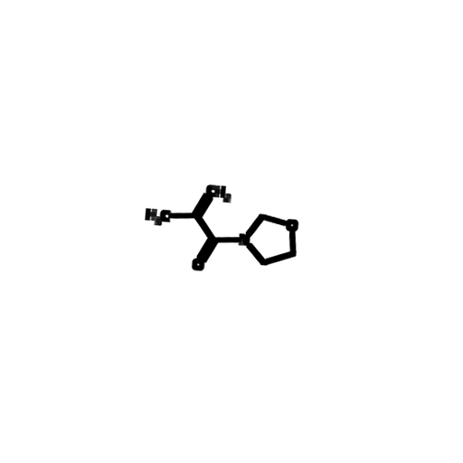 C=C(C)C(=O)N1CCOC1